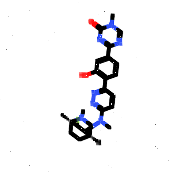 CN(c1ccc(-c2ccc(-c3ncn(C)c(=O)n3)cc2O)nn1)C1C(F)[C@@]2(C)CC[C@@H]1CN2C